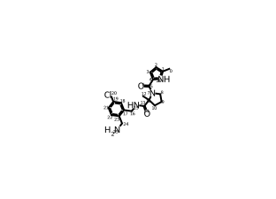 Cc1ccc(C(=O)N2CCCC2(C)C(=O)NCc2cc(Cl)ccc2CN)[nH]1